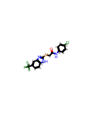 O=C(CSc1nc2cc(C(F)(F)F)ccc2[nH]1)Nc1ccc(Cl)cc1